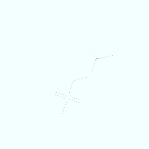 CC(=O)OCS(C)(=O)=O